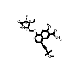 CC[C@@H]1[C@H](F)C(=O)N[C@@H]1COc1ncc(C#CC(C)(C)OC)c2cc(C(N)=O)c(OC)cc12